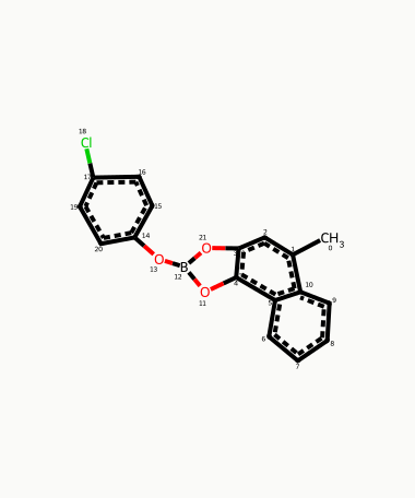 Cc1cc2c(c3ccccc13)OB(Oc1ccc(Cl)cc1)O2